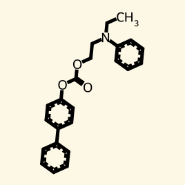 CCN(CCOC(=O)Oc1ccc(-c2ccccc2)cc1)c1ccccc1